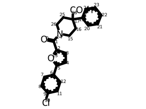 O=C(c1ccc(-c2ccc(Cl)cc2)o1)N1CCC(C(=O)O)(c2ccccc2)CC1